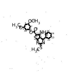 COc1cc(OC)cc(OC(=O)c2sc3nc(SC)nc(-c4ccccc4)c3c2N)c1